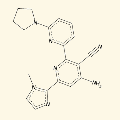 Cn1ccnc1-c1cc(N)c(C#N)c(-c2cccc(N3CCCC3)n2)n1